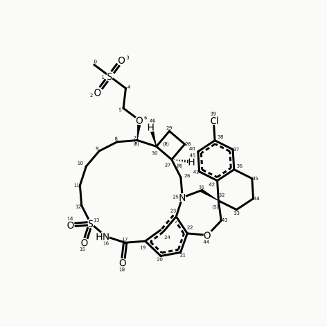 CS(=O)(=O)CCO[C@@H]1CCCCCS(=O)(=O)NC(=O)c2ccc3c(c2)N(C[C@@H]2CC[C@H]21)C[C@@]1(CCCc2cc(Cl)ccc21)CO3